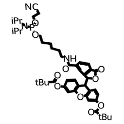 CC(C)N(C(C)C)P(OCCC#N)OCCCCCCNC(=O)c1ccc2c(c1)C(C1c3ccc(OC(=O)C(C)(C)C)cc3Oc3cc(OC(=O)C(C)(C)C)ccc31)OC2=O